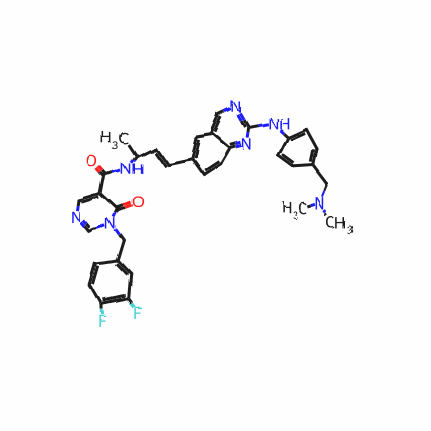 CC(C=Cc1ccc2nc(Nc3ccc(CN(C)C)cc3)ncc2c1)NC(=O)c1cncn(Cc2ccc(F)c(F)c2)c1=O